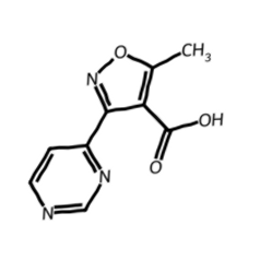 Cc1onc(-c2ccncn2)c1C(=O)O